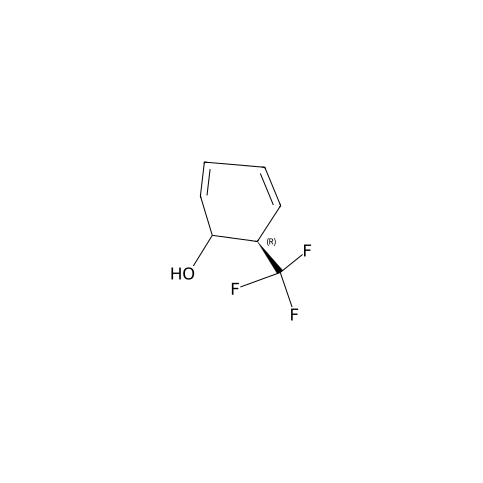 OC1C=CC=C[C@H]1C(F)(F)F